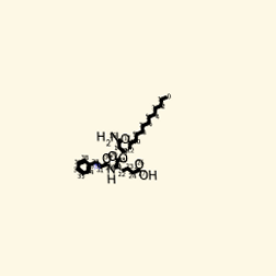 CCCCCCCCCCCCC[C@@H](CC(N)=O)OC(=O)[C@H](CCCC(=O)O)NC(=O)/C=C/c1ccccc1